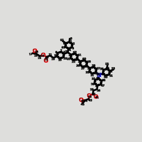 Cc1ccc(C(c2ccc(CCC(=O)OCC3CO3)cc2)c2ccc(-c3ccc(-c4ccc(N(c5ccc(CCC(=O)OCC6CO6)cc5)c5ccc(C)c(C)c5)cc4)cc3)cc2)cc1C